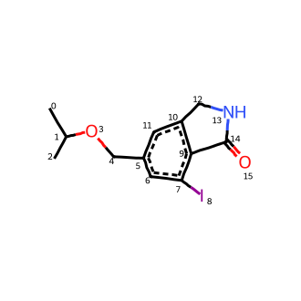 CC(C)OCc1cc(I)c2c(c1)CNC2=O